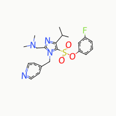 CC(C)c1nc(CN(C)C)n(Cc2ccncc2)c1S(=O)(=O)Oc1cccc(F)c1